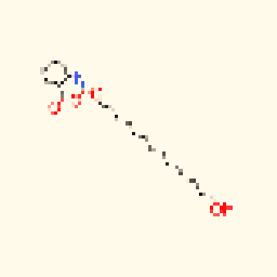 O=c1oc(OCCCCCCCCCCCCCCO)nc2ccccc12